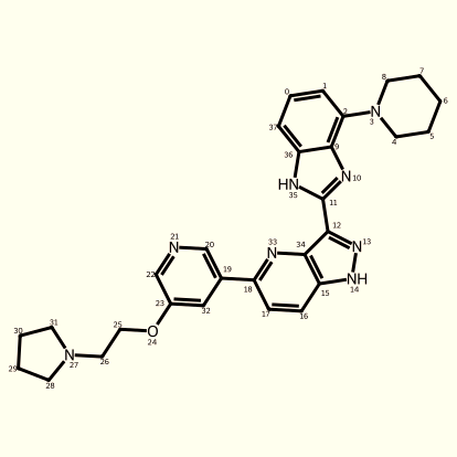 c1cc(N2CCCCC2)c2nc(-c3n[nH]c4ccc(-c5cncc(OCCN6CCCC6)c5)nc34)[nH]c2c1